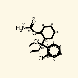 CC[C@](OC)(c1ccccc1Cl)[C@@H]1CCCCC1OC(N)=O